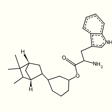 CC1[C@@H]2C[C@@H](CC2C2CCCC(OC(=O)C(N)Cc3c[nH]c4ccccc34)C2)C1(C)C